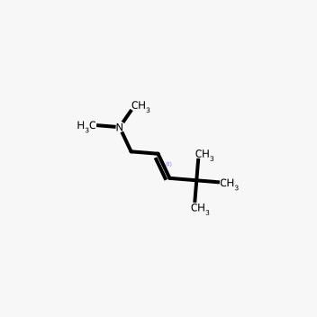 CN(C)C/C=C/C(C)(C)C